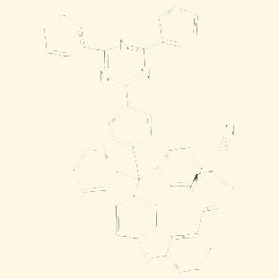 N#Cc1ccc(-c2cccc3sc4ccc5c(c4c23)-c2ccccc2C5(c2ccccc2)c2ccc(-c3nc(-c4ccccc4)nc(-c4ccccc4)n3)cc2)cc1